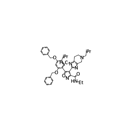 CCNC(=O)c1noc(-c2cc(C(C)C)c(OCc3ccccc3)cc2OCc2ccccc2)c1-c1nc2c(n1C)CCN(CC(C)C)C2